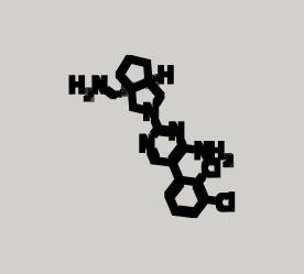 NC[C@]12CCC[C@H]1CN(c1ncc(-c3cccc(Cl)c3Cl)c(N)n1)C2